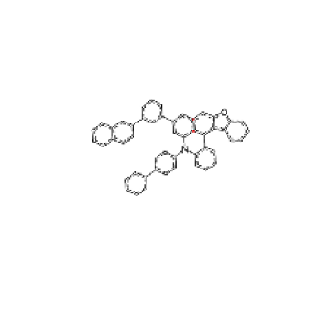 c1ccc(-c2ccc(N(c3cccc(-c4cccc(-c5ccc6ccccc6c5)c4)c3)c3ccccc3-c3cccc4oc5ccccc5c34)cc2)cc1